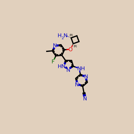 Cc1ncc(O[C@@H]2CC[C@H]2N)c(-c2cc(Nc3cnc(C#N)cn3)n[nH]2)c1F